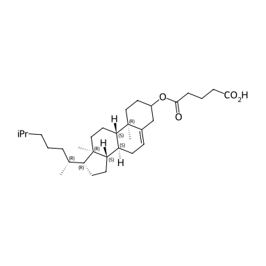 CC(C)CCC[C@@H](C)[C@H]1CC[C@H]2[C@@H]3CC=C4CC(OC(=O)CCCC(=O)O)CC[C@]4(C)[C@H]3CC[C@]12C